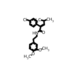 COc1ccc(CCNC(=O)C(=CC(C)C)c2ccc(Cl)cc2)cc1OC